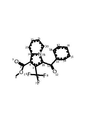 COC(=O)c1c(C(F)(F)F)c(C(=O)c2ccccc2)n2ccccc12